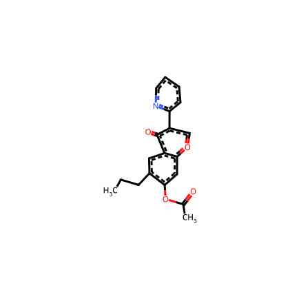 CCCc1cc2c(=O)c(-c3ccccn3)coc2cc1OC(C)=O